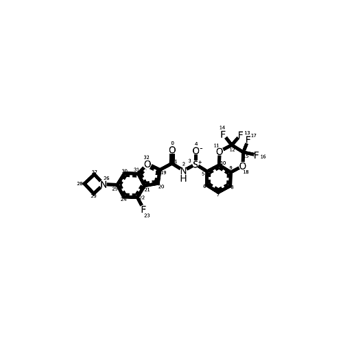 O=C(N[S+]([O-])c1cccc2c1OC(F)(F)C(F)(F)O2)c1cc2c(F)cc(N3CCC3)cc2o1